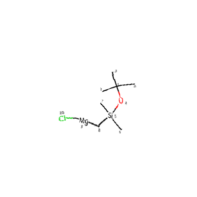 CC(C)(C)O[Si](C)(C)[CH2][Mg][Cl]